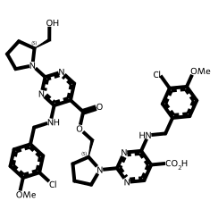 COc1ccc(CNc2nc(N3CCC[C@H]3COC(=O)c3cnc(N4CCC[C@H]4CO)nc3NCc3ccc(OC)c(Cl)c3)ncc2C(=O)O)cc1Cl